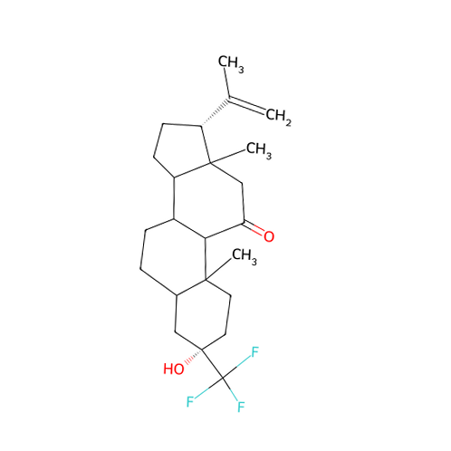 C=C(C)[C@H]1CCC2C3CCC4C[C@](O)(C(F)(F)F)CCC4(C)C3C(=O)CC21C